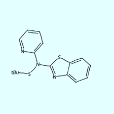 CC(C)(C)SN(c1ccccn1)c1nc2ccccc2s1